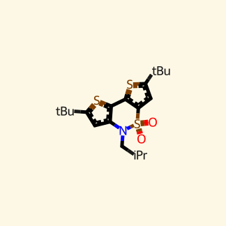 CC(C)CN1c2cc(C(C)(C)C)sc2-c2sc(C(C)(C)C)cc2S1(=O)=O